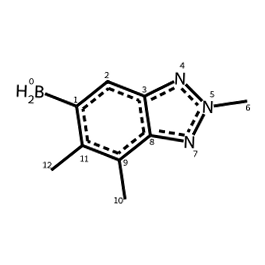 Bc1cc2nn(C)nc2c(C)c1C